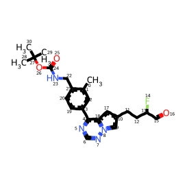 Cc1cc(-c2ncnn3cc(CCC(F)C=O)cc23)ccc1CNC(=O)OC(C)(C)C